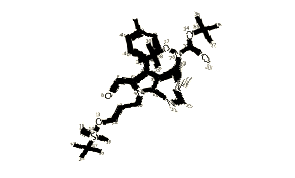 Cc1ccc(-c2c(C=O)n(CCCO[Si](C)(C)C(C)(C)C)c3ncnc(N(OC(C)(C)C)C(=O)OC(C)(C)C)c23)cc1